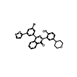 O=Nc1ccc(N2CCOCC2)cc1-n1nc(-c2cc(Br)cc(-c3ccno3)c2)c2ccccc2c1=O